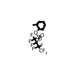 Cc1ccccc1OS(=O)(=O)C(F)(F)C(F)(F)C(F)(F)C(F)(F)F